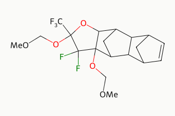 COCOC12C3CC(C4C5C=CC(C5)C43)C1OC(OCOC)(C(F)(F)F)C2(F)F